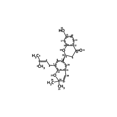 CC(C)=CCc1cc([C@@H]2CC(=O)c3ccc(O)cc3O2)cc2c1OC(C)(C)C=C2